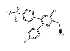 C#CCn1nc(-c2ccc(F)cc2)c(-c2ccc(S(C)(=O)=O)cc2)cc1=O